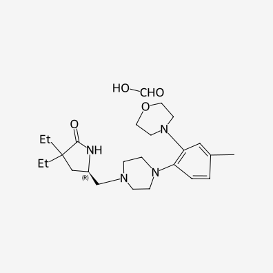 CCC1(CC)C[C@H](CN2CCN(c3ccc(C)cc3N3CCOCC3)CC2)NC1=O.O=CO